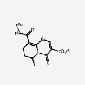 CCCCNC(=O)C1=C2NC=C(C(=O)OCC)C(=O)N2C(C)CC1